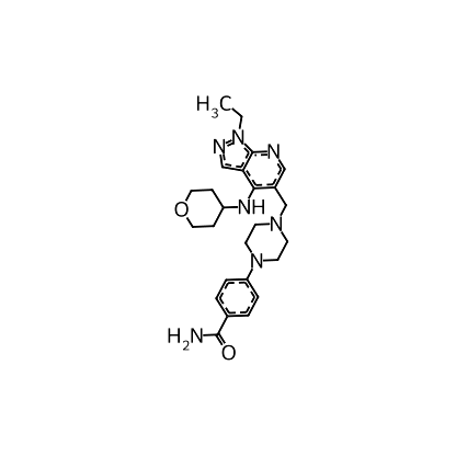 CCn1ncc2c(NC3CCOCC3)c(CN3CCN(c4ccc(C(N)=O)cc4)CC3)cnc21